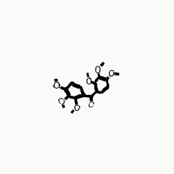 COc1ccc(C(=O)c2ccc(OC)c(OC)c2OC)c(OC)c1OC